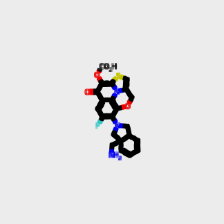 NCC12C=CC=CC1CN(c1c(F)cc3c(=O)c(OC(=O)O)c4scc5n4c3c1OC5)C2